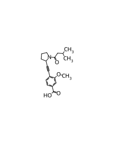 COc1cc(C(=O)O)ccc1C#CC1CCCN1C(=O)CC(C)C